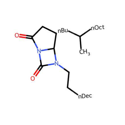 CCCCCCCCC(C)CCCC.CCCCCCCCCCCCN1C(=O)N2C(=O)CCC12